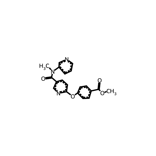 COC(=O)c1ccc(Oc2ccc(C(=O)N(C)c3cccnc3)cn2)cc1